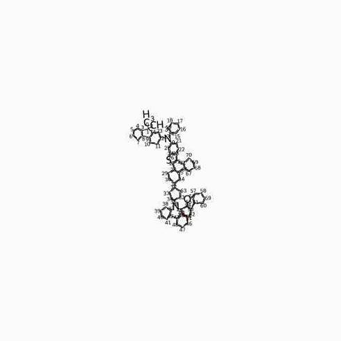 CC1(C)c2ccccc2-c2ccc(N(c3ccccc3)c3ccc4c(c3)sc3c5ccc(-c6ccc(N(c7ccccc7-c7ccccc7)c7cccc8c7oc7ccccc78)cc6)cc5c5ccccc5c43)cc21